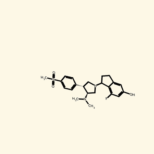 CN(C)[C@@H]1CN(C2CCc3cc(O)cc(F)c32)C[C@H]1c1ccc(S(C)(=O)=O)cc1